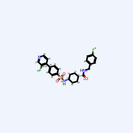 O=C(NCc1ccc(F)cc1)[C@H]1CC[C@H](NS(=O)(=O)c2ccc(-c3ccncc3F)cc2)CC1